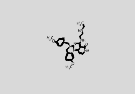 CCNCCNc1nc(N(Cc2ccc(OC)cc2)Cc2ccc(OC)cc2)nc2cc[nH]c(=O)c12